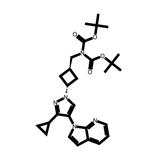 CC(C)(C)OC(=O)N(C[C@H]1C[C@H](n2cc(-n3ccc4cccnc43)c(C3CC3)n2)C1)C(=O)OC(C)(C)C